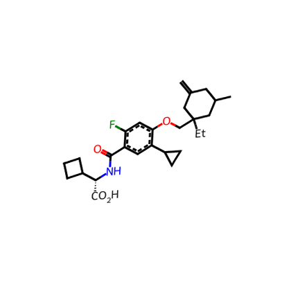 C=C1CC(C)CC(CC)(COc2cc(F)c(C(=O)N[C@H](C(=O)O)C3CCC3)cc2C2CC2)C1